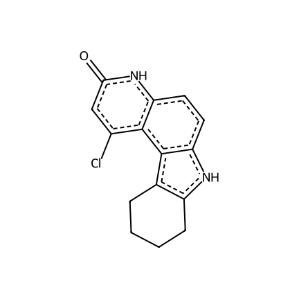 O=c1cc(Cl)c2c(ccc3[nH]c4c(c32)CCCC4)[nH]1